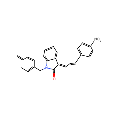 C=C/C=C\C(=C/C)CN1C(=O)/C(=C/C=C/c2ccc([N+](=O)[O-])cc2)c2ccccc21